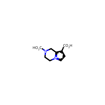 O=C(O)c1ccn2c1CN(C(=O)O)CC2